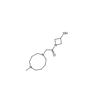 CN1CCCCN(CC(=O)N2CC(O)C2)CCC1